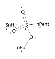 CCCCCS(=O)(=O)OCCCC.[SnH2]